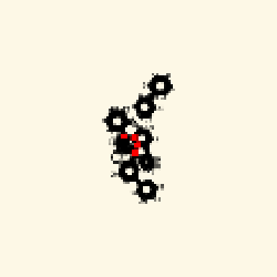 c1ccc(-c2ccc(N(c3ccc4c(c3)C3(c5ccccc5Oc5ccc(-c6ccccc6)cc53)c3ccccc3-4)c3ccccc3-c3ccccc3)cc2)cc1